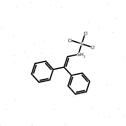 Cl[Si](Cl)(Cl)[SiH2]C=C(c1ccccc1)c1ccccc1